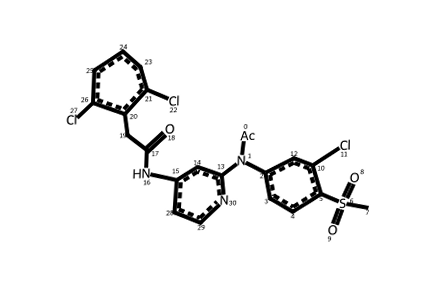 CC(=O)N(c1ccc(S(C)(=O)=O)c(Cl)c1)c1cc(NC(=O)Cc2c(Cl)cccc2Cl)ccn1